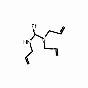 C=CCNC(CC)N(CC=C)CC=C